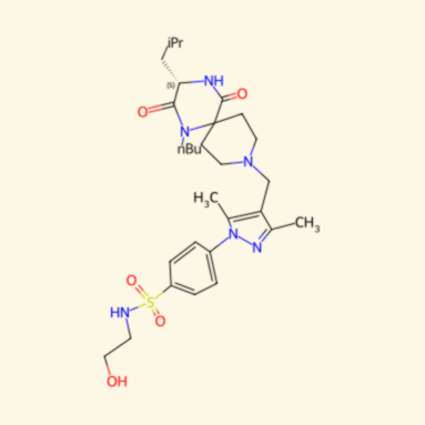 CCCCN1C(=O)[C@H](CC(C)C)NC(=O)C12CCN(Cc1c(C)nn(-c3ccc(S(=O)(=O)NCCO)cc3)c1C)CC2